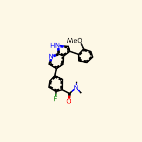 COc1ccccc1-c1c[nH]c2ncc(-c3ccc(F)c(C(=O)N(C)C)c3)cc12